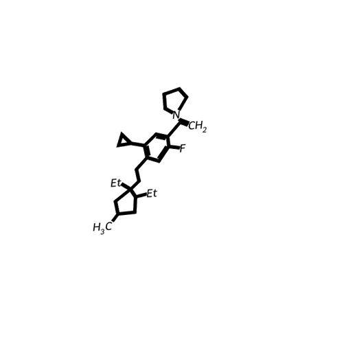 C=C(c1cc(C2CC2)c(CCC2(CC)CC(C)CC2CC)cc1F)N1CCCC1